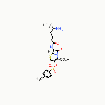 Cc1ccc(S(=O)(=O)OC2=C(C(=O)O)N3C(=O)C(NC(=O)CCCC(N)C(=O)O)[C@@H]3SC2)cc1